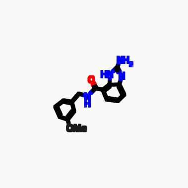 COc1cccc(CNC(=O)c2cccc3nc(N)[nH]c23)c1